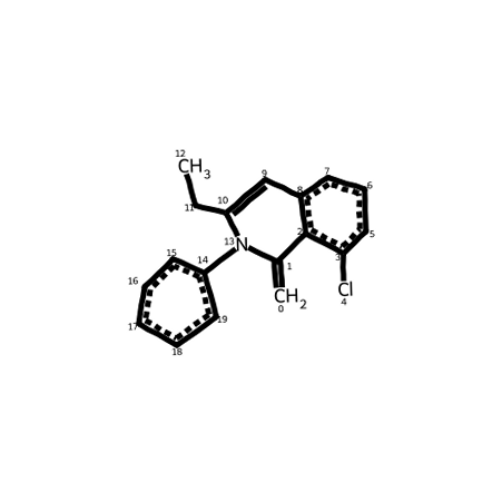 C=C1c2c(Cl)cccc2C=C(CC)N1c1ccccc1